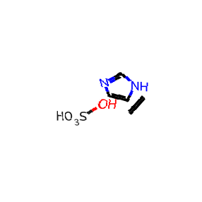 C=C.O=S(=O)(O)O.c1c[nH]cn1